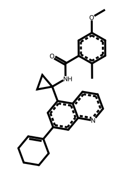 COc1ccc(C)c(C(=O)NC2(c3cc(C4=CCCCC4)cc4ncccc34)CC2)c1